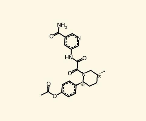 CC(=O)Oc1ccc([C@@H]2CC[C@@H](C)CN2C(=O)C(=O)Nc2cncc(C(N)=O)c2)cc1